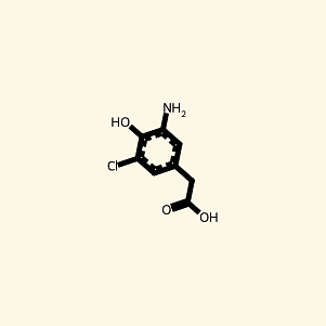 Nc1cc(CC(=O)O)cc(Cl)c1O